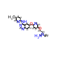 Cc1ccc(Nc2ncnc3ccc(Oc4ccc(OCCN(N)C(C)C)cn4)cc23)nc1